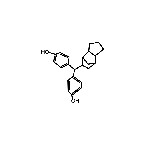 Oc1ccc(C(c2ccc(O)cc2)C2CC3CC2C2CCCC32)cc1